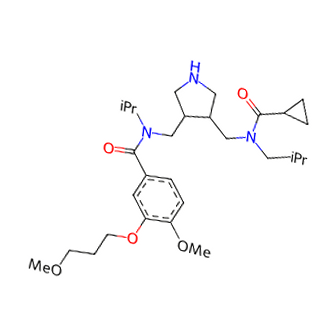 COCCCOc1cc(C(=O)N(CC2CNCC2CN(CC(C)C)C(=O)C2CC2)C(C)C)ccc1OC